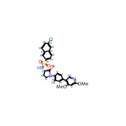 COc1cc(OC)c(-c2ccc(N3CC[C@H](NS(=O)(=O)c4ccc5cc(Cl)ccc5c4)C3=O)c(F)c2)cn1